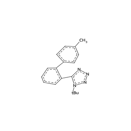 Cc1ccc(-c2ccccc2-c2nnnn2C(C)(C)C)cc1